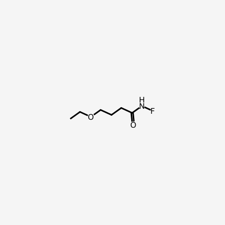 CCOCCCC(=O)NF